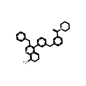 C=C(c1cccc(Cc2cccc(-c3c(Cc4ccccc4)cnc4c3=CCCC=4C(F)(F)F)c2)c1)N1CCCCC1